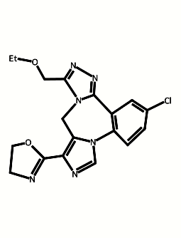 CCOCc1nnc2n1Cc1c(C3=NCCO3)ncn1-c1ccc(Cl)cc1-2